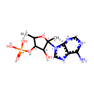 CC1OC(C)(n2cnc3c(N)ncnc32)C(O)C1OP(=O)(O)O